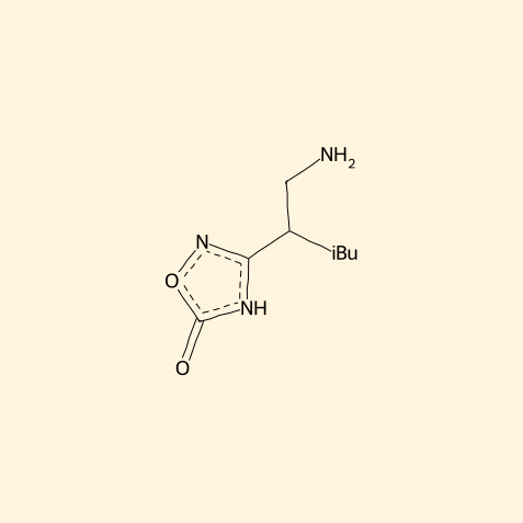 CCC(C)C(CN)c1noc(=O)[nH]1